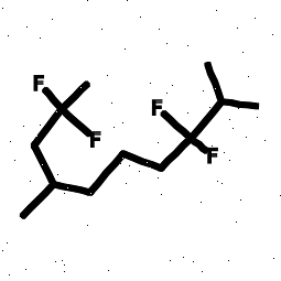 CC(CCCC(F)(F)C(C)C)CC(C)(F)F